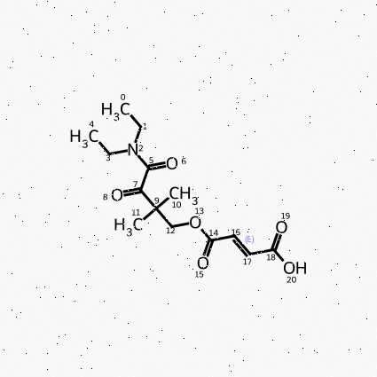 CCN(CC)C(=O)C(=O)C(C)(C)COC(=O)/C=C/C(=O)O